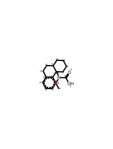 CCN(C(=O)O)C12CCCCC1CCc1ccccc12